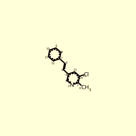 Cc1ncc(C=Cc2ccccc2)cc1Cl